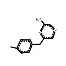 Cc1cncc(Cc2ccc(Cl)cc2)n1